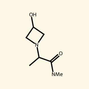 CNC(=O)C(C)N1CC(O)C1